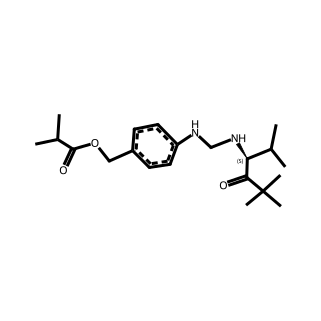 CC(C)C(=O)OCc1ccc(NCN[C@H](C(=O)C(C)(C)C)C(C)C)cc1